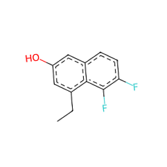 CCc1cc(O)cc2ccc(F)c(F)c12